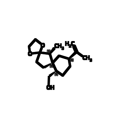 C=C(C)[C@H]1CC[C@H](CO)[C@]2(CCC3(OCCO3)[C@H]2C)C1